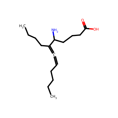 CCCCC=C=C(CCCC)C(N)CCCC(=O)O